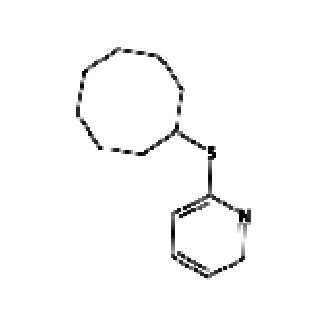 c1ccc(SC2CCCCCCC2)nc1